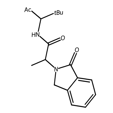 CC(=O)C(NC(=O)C(C)N1Cc2ccccc2C1=O)C(C)(C)C